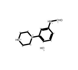 Cl.O=CNc1cccc(N2CCNCC2)c1